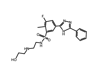 Cc1c(F)cc(-c2nnc(-c3ccccc3)[nH]2)cc1S(=O)(=O)NCCNCCO